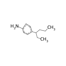 CCCC(CC)c1ccc(N)cc1